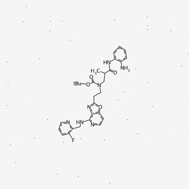 CC(CN(CCc1nc2c(NCc3ncccc3F)nccc2o1)C(=O)OC(C)(C)C)C(=O)Nc1ccccc1N